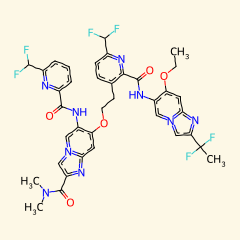 CCOc1cc2nc(C(C)(F)F)cn2cc1NC(=O)c1nc(C(F)F)ccc1CCOc1cc2nc(C(=O)N(C)C)cn2cc1NC(=O)c1cccc(C(F)F)n1